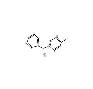 Fc1cc[n+](Cc2ccccc2)cc1.[Br-]